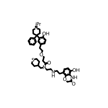 CC(C)N1CCC(c2ccccc2)(c2cc(CCOCCC(=O)N(CCNCCc3ccc(O)c4c3OCC(=O)N4)CC3CCSCC3)ccc2O)CC1